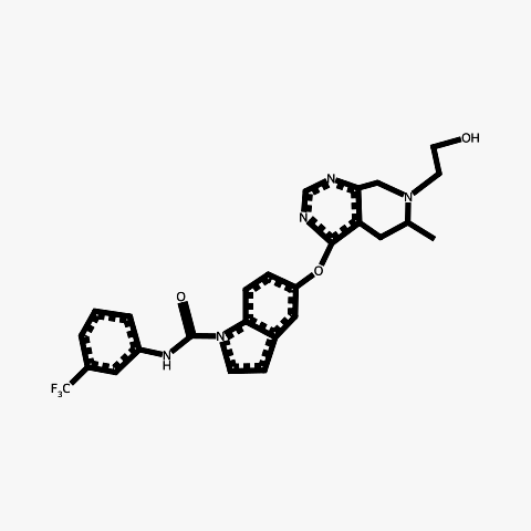 CC1Cc2c(ncnc2Oc2ccc3c(ccn3C(=O)Nc3cccc(C(F)(F)F)c3)c2)CN1CCO